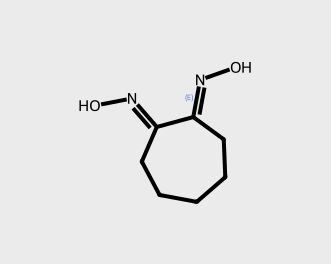 ON=C1CCCCC/C1=N\O